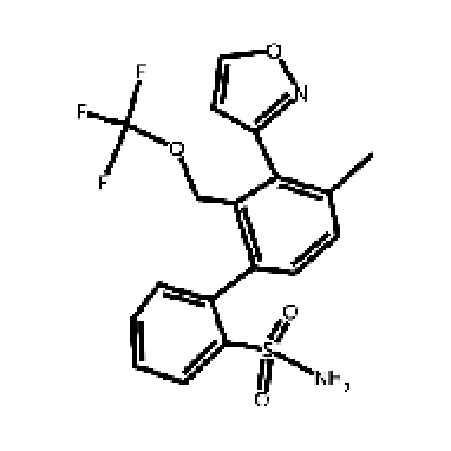 Cc1ccc(-c2ccccc2S(N)(=O)=O)c(COC(F)(F)F)c1-c1ccon1